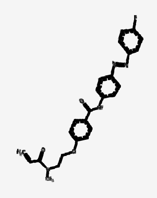 C=CC(=O)N(C)CCOc1ccc(C(=O)Nc2ccc(/N=N/c3ccc(F)cc3)cc2)cc1